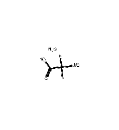 Cl.O.O=C(O)C(F)(F)F